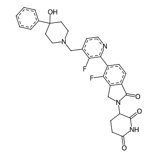 O=C1CCC(N2Cc3c(ccc(-c4nccc(CN5CCC(O)(c6ccccc6)CC5)c4F)c3F)C2=O)C(=O)N1